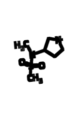 CN(C1CC[N]C1)S(C)(=O)=O